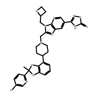 CC1(c2ccc(Cl)cn2)Oc2cccc(C3CCN(Cc4nc5cc(-c6noc(=O)[nH]6)cnc5n4CC4CCO4)CC3)c2O1